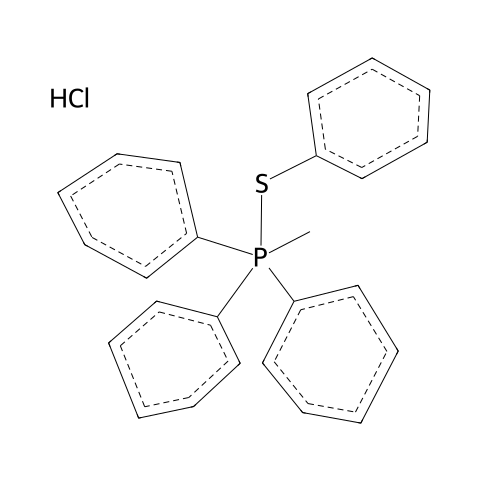 CP(Sc1ccccc1)(c1ccccc1)(c1ccccc1)c1ccccc1.Cl